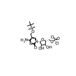 CC(C)(C)[Si](C)(C)OCc1cn([C@@H]2O[C@H](COP(=O)(Cl)Cl)C(O)C2O)c(=O)nc1N